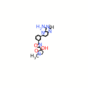 [2H]c1nc(N)c2nc(-c3cccc(-c4nc([C@]5(O)CCN(C)C5=O)co4)c3)ccc2n1